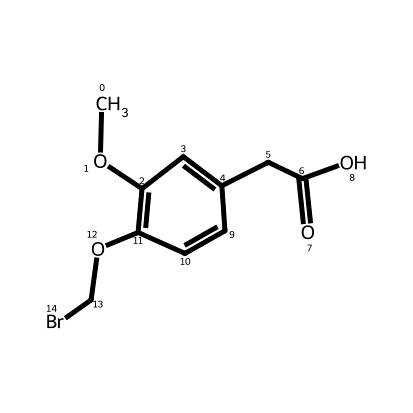 COc1cc(CC(=O)O)ccc1OCBr